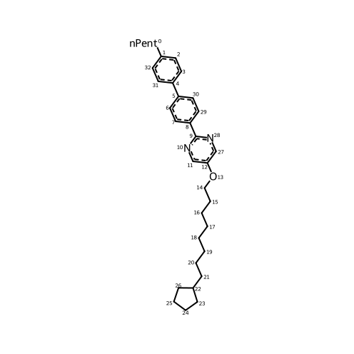 CCCCCc1ccc(-c2ccc(-c3ncc(OCCCCCCCCC4CCCC4)cn3)cc2)cc1